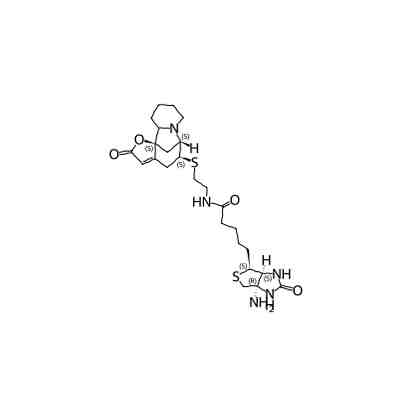 N[C@]12CS[C@@H](CCCCC(=O)NCCS[C@H]3CC4=CC(=O)O[C@@]45C[C@@H]3N3CCCCC35)[C@H]1NC(=O)N2